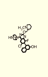 CN1CCCC[C@H]1COc1nc(N2CC3CCCC2CN3)c2cc(Cl)c(-c3cc(O)cc4ccccc34)c(F)c2n1